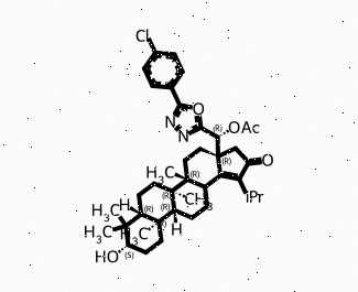 CC(=O)O[C@@H](c1nnc(-c2ccc(Cl)cc2)o1)[C@@]12CC[C@]3(C)C(CC[C@@H]4[C@@]5(C)CC[C@H](O)C(C)(C)[C@@H]5CC[C@]43C)C1=C(C(C)C)C(=O)C2